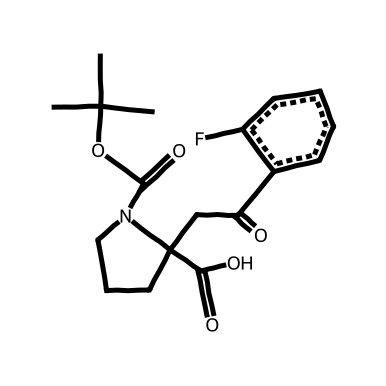 CC(C)(C)OC(=O)N1CCCC1(CC(=O)c1ccccc1F)C(=O)O